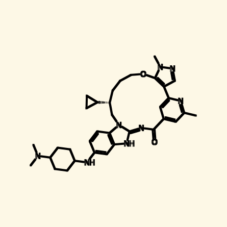 Cc1cc2cc(n1)-c1cnn(C)c1OCCC[C@@H](C1CC1)CN1/C(=N/C2=O)Nc2cc(NC3CCC(N(C)C)CC3)ccc21